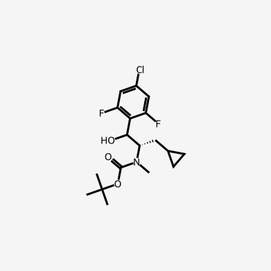 CN(C(=O)OC(C)(C)C)[C@@H](CC1CC1)C(O)c1c(F)cc(Cl)cc1F